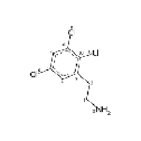 NCCc1cc(Cl)cc(Cl)c1Cl